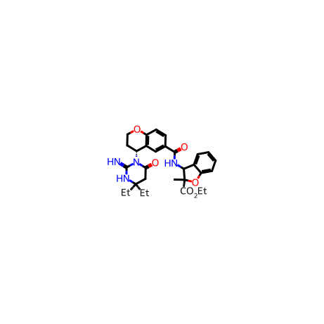 CCOC(=O)C1(C)Oc2ccccc2C1NC(=O)c1ccc2c(c1)[C@H](N1C(=N)NC(CC)(CC)CC1=O)CCO2